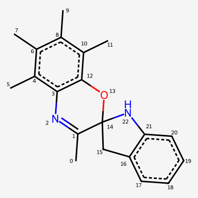 CC1=Nc2c(C)c(C)c(C)c(C)c2OC12Cc1ccccc1N2